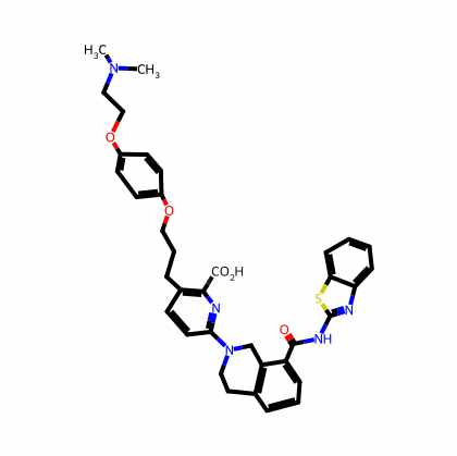 CN(C)CCOc1ccc(OCCCc2ccc(N3CCc4cccc(C(=O)Nc5nc6ccccc6s5)c4C3)nc2C(=O)O)cc1